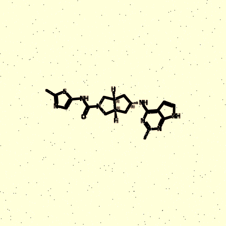 Cc1nc(N[C@@H]2C[C@@H]3CN(C(=O)Nc4cnc(C)s4)C[C@@H]3C2)c2cc[nH]c2n1